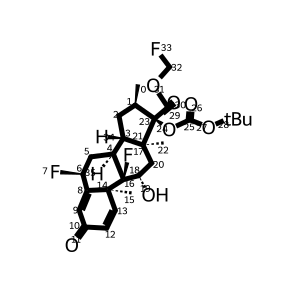 C[C@@H]1C[C@H]2[C@@H]3C[C@H](F)C4=CC(=O)C=C[C@]4(C)[C@@]3(F)[C@@H](O)C[C@]2(C)[C@@]1(OC(=O)OC(C)(C)C)C(=O)OCF